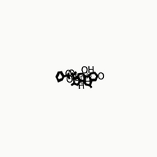 CC(=O)[C@@]1(OC(=O)c2ccccc2)C(C)C[C@H]2[C@@H]3CC(C)C4=CC(=O)CC[C@]4(C)[C@@]3(Br)C(O)C[C@@]21C